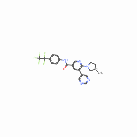 C[C@@H]1CCN(c2ncc(C(=O)Nc3ccc(C(F)(F)C(F)(F)F)cc3)cc2-c2cncnc2)C1